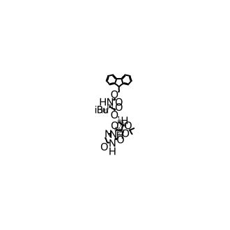 CC[C@@H](C)[C@@H](NC(=O)OCC1c2ccccc2-c2ccccc21)C(=O)OC[C@H]1O[C@@H](n2ncc(=O)[nH]c2=O)[C@@H]2OC(C)(C)O[C@@H]21